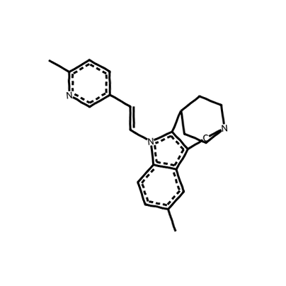 Cc1ccc2c(c1)c1c(n2C=Cc2ccc(C)nc2)C2CCN(CC2)C1